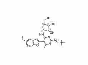 CCc1cc2cc(-c3c(C)nc(NCC(C)(C)C)nc3N[C@@H]3C[C@H](CO)[C@@H](O)[C@H]3O)oc2cn1